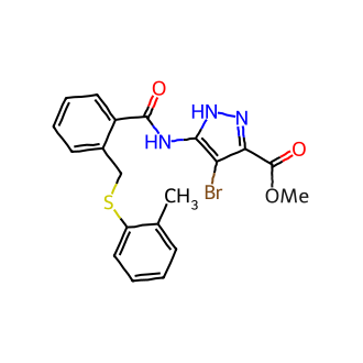 COC(=O)c1n[nH]c(NC(=O)c2ccccc2CSc2ccccc2C)c1Br